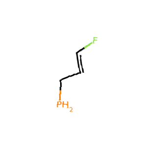 FC=CCP